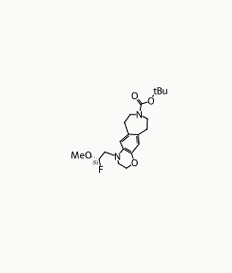 CO[C@@H](F)CN1CCOc2cc3c(cc21)CCN(C(=O)OC(C)(C)C)CC3